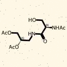 CC(=O)N[C@H](CO)C(=O)NC[C@@H](COC(C)=O)OC(C)=O